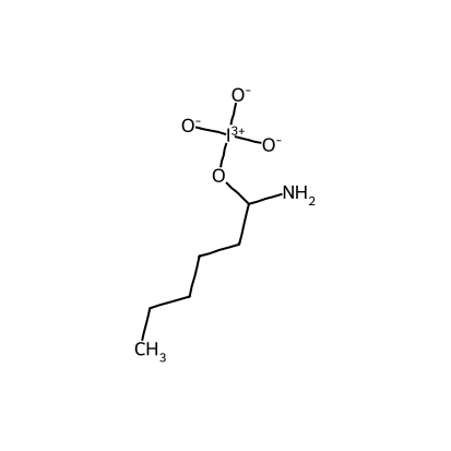 CCCCCC(N)O[I+3]([O-])([O-])[O-]